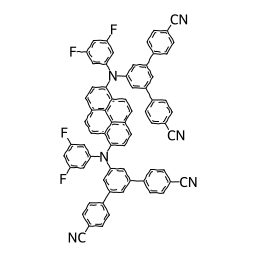 N#Cc1ccc(-c2cc(-c3ccc(C#N)cc3)cc(N(c3cc(F)cc(F)c3)c3ccc4ccc5c(N(c6cc(F)cc(F)c6)c6cc(-c7ccc(C#N)cc7)cc(-c7ccc(C#N)cc7)c6)ccc6ccc3c4c65)c2)cc1